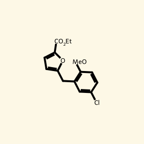 CCOC(=O)c1ccc(Cc2cc(Cl)ccc2OC)o1